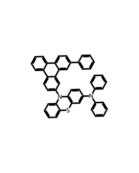 c1ccc(-c2ccc3c4ccccc4c4ccc(N5c6ccccc6Sc6cc(N(c7ccccc7)c7ccccc7)ccc65)cc4c3c2)cc1